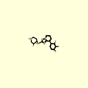 Fc1ccc(-c2cccn3nc(NC4CCNCC4F)nc23)c(F)c1F